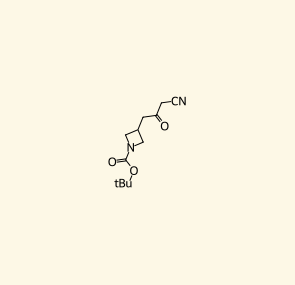 CC(C)(C)OC(=O)N1CC(CC(=O)CC#N)C1